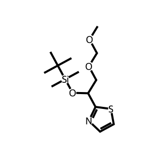 COCOCC(O[Si](C)(C)C(C)(C)C)c1nccs1